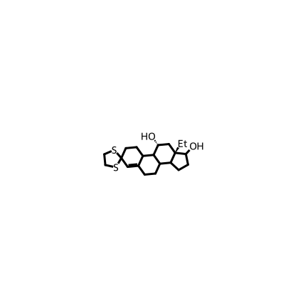 CC[C@]12C[C@@H](O)C3C4CCC5(C=C4CCC3C1CCC2O)SCCS5